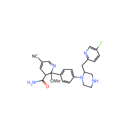 COC1(c2ccc(N3CCNCC3Cc3ccc(F)cn3)cc2)N=CC(C#N)=CC1C(N)=O